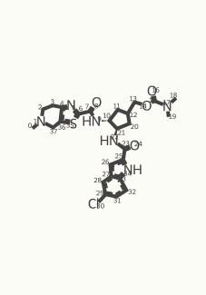 CN1CCc2nc(C(=O)N[C@@H]3CC(COC(=O)N(C)C)C[C@H]3NC(=O)c3cc4cc(Cl)ccc4[nH]3)sc2C1